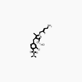 Cc1c(Cc2ccc(S(=O)(=O)N(C)C)c(Cl)c2)c(C(F)(F)F)nn1C/C(F)=C/CN.Cl